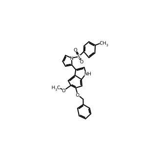 COc1cc2c(-c3cccn3S(=O)(=O)c3ccc(C)cc3)c[nH]c2cc1OCc1ccccc1